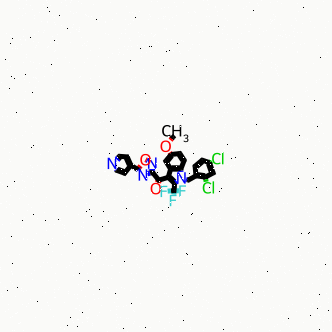 CCOc1ccc2c(c1)c(C(=O)c1noc(-c3ccncc3)n1)c(C(F)(F)F)n2Cc1ccc(Cl)cc1Cl